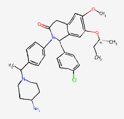 CC[C@@H](C)Oc1cc2c(cc1OC)CC(=O)N(c1ccc(C(C)N3CCC(N)CC3)cc1)C2c1ccc(Cl)cc1